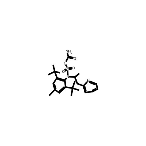 Cc1cc(C(C)(C)C)c(N(C(C)Cc2ccccn2)S(=O)(=O)OC(N)=O)c(C(C)(C)C)c1